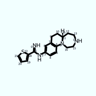 N=C(Nc1ccc2c(c1)CC[C@@H]1CCNCCN21)c1cccs1